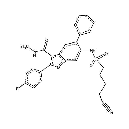 CNC(=O)c1c(-c2ccc(F)cc2)oc2cc(NS(=O)(=O)CCCCC#N)c(-c3ccccc3)cc12